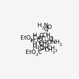 CCOC(=O)C=CN1C(C)(C)CC(C(CCCCCOC(N)=O)(OC(N)=O)C2CC(C)(C)N(C=CC(=O)OCC)C(C)(C)C2)CC1(C)C